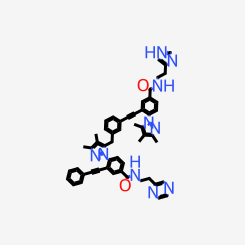 Cc1nn(-c2ccc(C(=O)NCCc3c[nH]cn3)cc2C#Cc2cccc(Cc3c(C)c(C)nn3-c3ccc(C(=O)NCCc4cnccn4)cc3C#Cc3ccccc3)c2)c(C)c1C